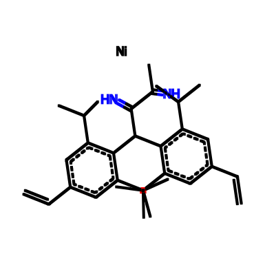 C=Cc1cc(C(C)C)c(C(C(=N)C(C)=N)c2c(C(C)C)cc(C=C)cc2C(C)C)c(C(C)C)c1.[Ni]